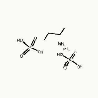 CCCC.N.N.O=S(=O)(O)O.O=S(=O)(O)O